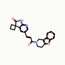 O=C(/C=C/c1cnc2c(c1)C1(CCC1)C(=O)N2)N1CCc2oc3ccccc3c2C1